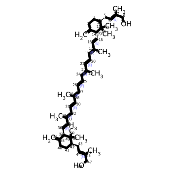 C=C1CC[C@H](C/C=C(\C)CO)C(C)(C)[C@@H]1/C=C/C(C)=C/C=C/C(C)=C/C=C/C=C(C)/C=C/C=C(C)/C=C/[C@@H]1C(=C)CC[C@H](C/C=C(\C)CO)C1(C)C